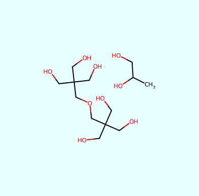 CC(O)CO.OCC(CO)(CO)COCC(CO)(CO)CO